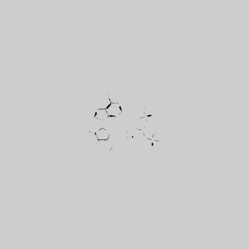 Nc1ncnc2c1ncn2[C@@H]1O[C@H](CO)[C@@H](O)[C@H]1O.O=P(O)(O)OB(OP(=O)(O)O)OP(=O)(O)O